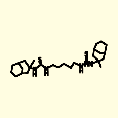 CC1(NC(=S)NCCCCCNC(=S)NC2(C)CC3CCCC(C3)C2)CC2CCCC(C2)C1